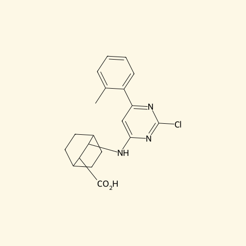 Cc1ccccc1-c1cc(NC2C3CCC(CC3)C2C(=O)O)nc(Cl)n1